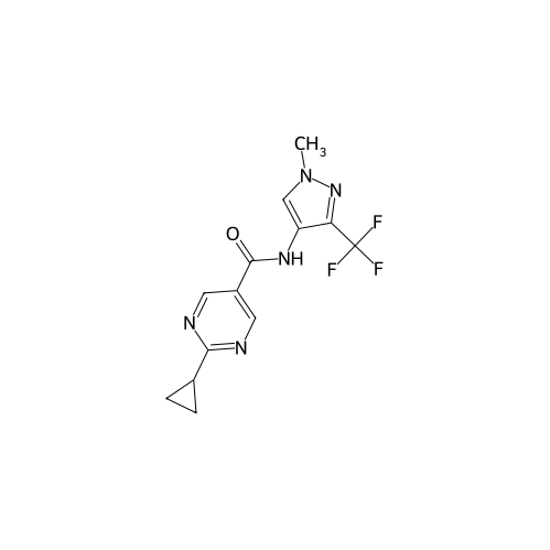 Cn1cc(NC(=O)c2cnc(C3CC3)nc2)c(C(F)(F)F)n1